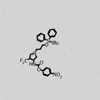 CC(C)(C)[Si](OCCCN1CC(NC(=O)Oc2ccc([N+](=O)[O-])cc2)C(C(F)(F)F)C1)(c1ccccc1)c1ccccc1